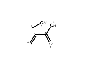 C=CC(=O)O.[CH]O